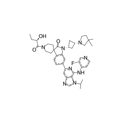 CC[C@@H](O)C(=O)N1CCC2(CC1)C(=O)N([C@H]1C[C@@H](N3CCC(C)(C)C3)C1)c1cc(-c3cc4ncn(C(C)C)c4c(Nc4ccncc4F)n3)ccc12